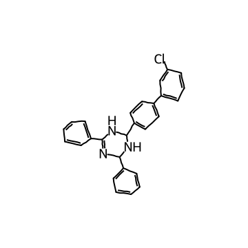 Clc1cccc(-c2ccc(C3NC(c4ccccc4)=NC(c4ccccc4)N3)cc2)c1